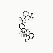 Cn1c(Nc2c(Cl)cccc2Cl)nc2cc(C(=O)NC3CCCCC3C(F)(F)F)ccc21